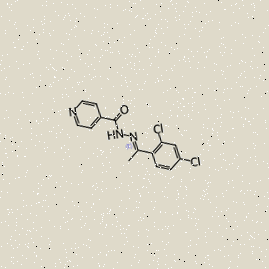 C/C(=N\NC(=O)c1ccncc1)c1ccc(Cl)cc1Cl